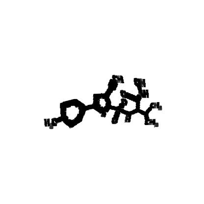 C#Cc1cc(-c2ccc(C)cc2)sc1S(=O)(=O)NC(C(=O)NO)C(C)C